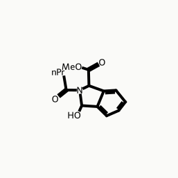 CCCC(=O)N1C(O)c2ccccc2C1C(=O)OC